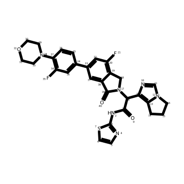 O=C(Nc1nccs1)C(c1ncn2c1CCC2)N1Cc2c(F)cc(-c3ccc(N4CCOCC4)c(F)c3)cc2C1=O